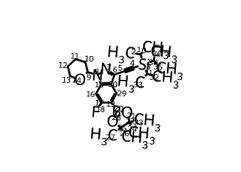 CC(C)[Si](C#Cc1nn(C2CCCCO2)c2cc(F)c(B3OC(C)(C)C(C)(C)O3)cc12)(C(C)C)C(C)C